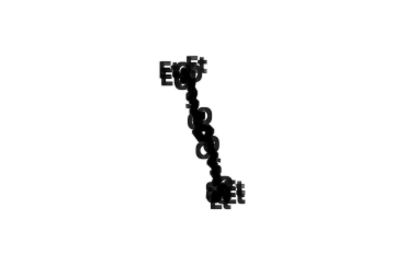 CCO[Si](CCCSCCC(=O)OC1CCC(OC(=O)CCSCCC[Si](OCC)(OCC)OCC)CC1)(OCC)OCC